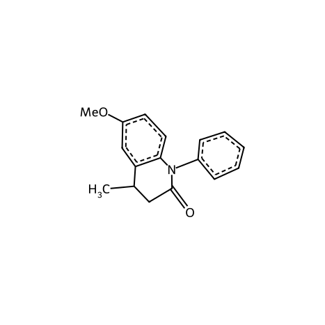 COc1ccc2c(c1)C(C)CC(=O)N2c1ccccc1